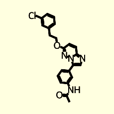 CC(=O)Nc1cccc(-c2cnc3ccc(OCCc4cccc(Cl)c4)nn23)c1